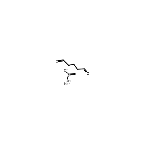 O=CCCCC=O.O=S([O-])O.[Na+]